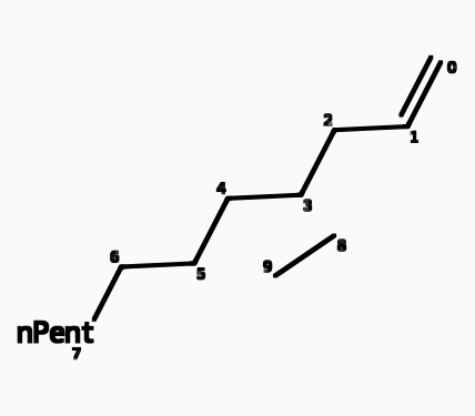 C=CCCCCCCCCCC.CC